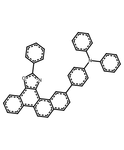 c1ccc(-c2nc3c(o2)c2ccccc2c2ccc4ccc(-c5ccc(N(c6ccccc6)c6ccccc6)cc5)cc4c23)cc1